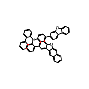 c1ccc(-c2ccccc2N(c2ccc(-c3ccc4c(c3)oc3ccccc34)cc2)c2ccccc2-c2ccc3oc4cc5ccccc5cc4c3c2)cc1